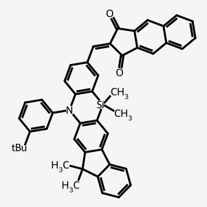 CC(C)(C)c1cccc(N2c3ccc(C=C4C(=O)c5cc6ccccc6cc5C4=O)cc3[Si](C)(C)c3cc4c(cc32)C(C)(C)c2ccccc2-4)c1